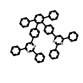 c1ccc(-c2cc(-c3ccc(-c4c(-c5ccccc5)ccc(-c5ccccc5)c4-c4ccc(-c5cc(-c6ccccc6)nc(-c6ccccc6)n5)cc4)cc3)nc(-c3ccccc3)n2)cc1